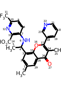 Cc1cc(C(C)Nc2ccc(C(F)(F)F)nc2C(=O)O)c2oc(-c3cccnc3)c(C)c(=O)c2c1